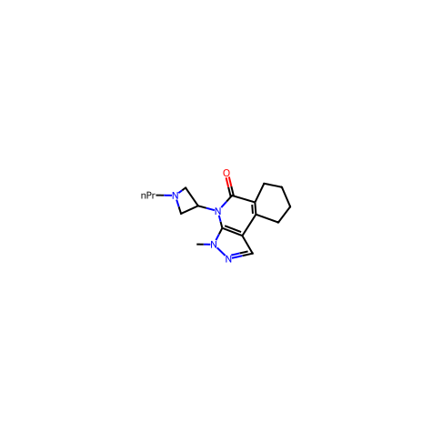 CCCN1CC(n2c(=O)c3c(c4cnn(C)c42)CCCC3)C1